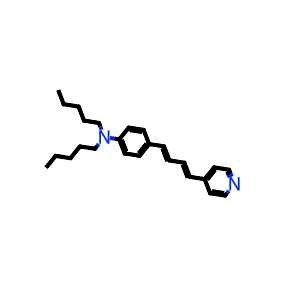 CCCCCN(CCCCC)c1ccc(C=CC=Cc2ccncc2)cc1